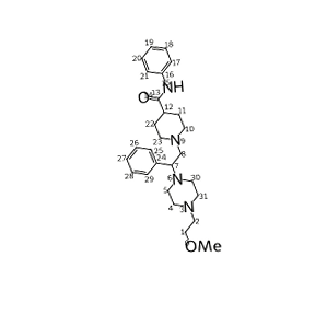 COCCN1CCN(C(CN2CCC(C(=O)Nc3ccccc3)CC2)c2ccccc2)CC1